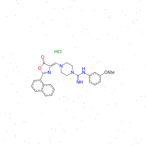 COc1cccc(NC(=N)N2CCN(C=C3N=C(c4cccc5ccccc45)OC3=O)CC2)c1.Cl